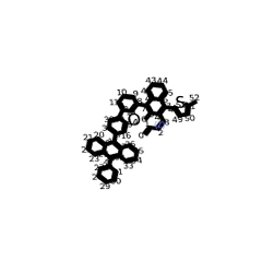 C=C/C=C\c1c(C)c(-c2cccc3c2oc2cc(-c4c5ccccc5c(-c5ccccc5)c5ccccc45)ccc23)c2ccccc2c1-c1ccc(C)s1